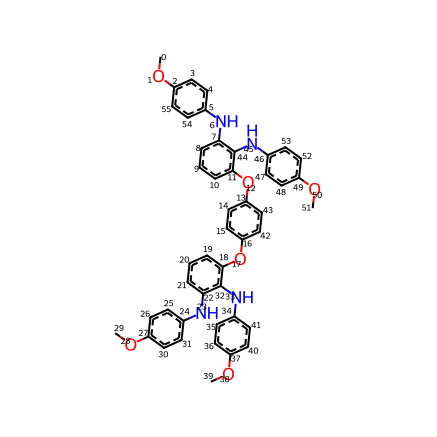 COc1ccc(Nc2cccc(Oc3ccc(Oc4cccc(Nc5ccc(OC)cc5)c4Nc4ccc(OC)cc4)cc3)c2Nc2ccc(OC)cc2)cc1